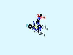 CCc1nn2c(C)cc(N3CCC4(CN(C(=O)C5(O)CC5)C4)C3)cc2c1N(C)c1nc(-c2ccc(F)cc2)c(C#N)s1